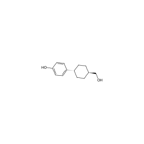 OC[C@H]1CC[C@H](c2ccc(O)cc2)CC1